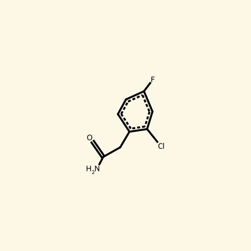 NC(=O)Cc1ccc(F)cc1Cl